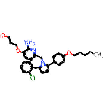 CCCCCOc1ccc(-c2ccc(-c3ccccc3Cl)n2Cc2ccc(OCCCO)c(N)n2)cc1